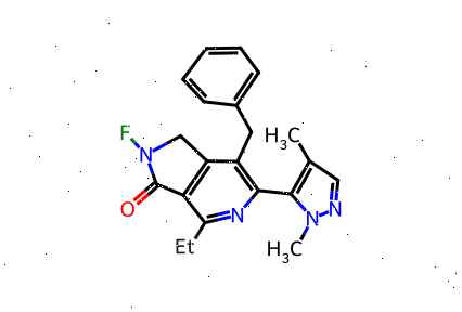 CCc1nc(-c2c(C)cnn2C)c(Cc2ccccc2)c2c1C(=O)N(F)C2